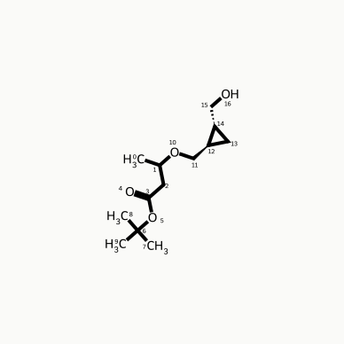 CC(CC(=O)OC(C)(C)C)OC[C@@H]1C[C@H]1CO